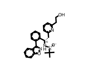 CC(C)(C)[S@+]([O-])N[C@@H](Cc1cccc(CCO)n1)c1ccccc1-c1noc2ccccc12